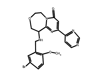 COc1ccc(Br)cc1CNC1COCCn2c1nc(-c1ccncn1)cc2=O